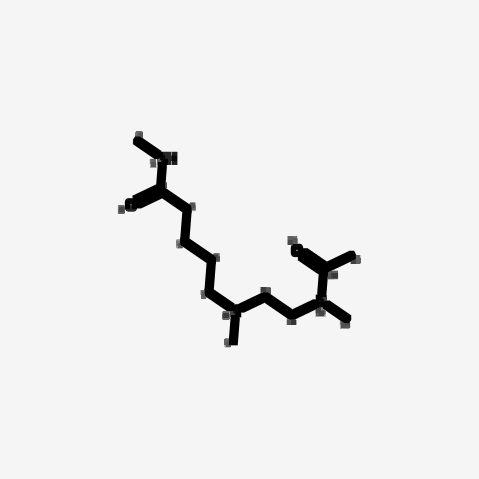 CNC(=O)CCCCN(C)CCN(C)C(C)=O